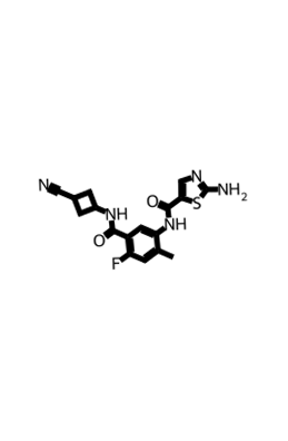 Cc1cc(F)c(C(=O)NC2CC(C#N)C2)cc1NC(=O)c1cnc(N)s1